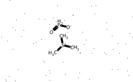 C[S+](C)C.O=[PH2][O-]